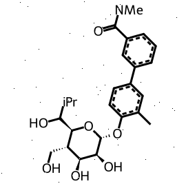 CNC(=O)c1cccc(-c2ccc(O[C@H]3O[C@H](C(O)C(C)C)[C@@H](CO)[C@H](O)[C@@H]3O)c(C)c2)c1